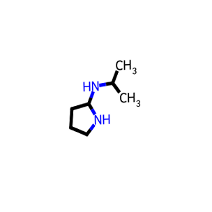 CC(C)NC1CCCN1